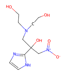 O=[N+]([O-])CC(O)(CN(CCO)CCO)c1ncc[nH]1